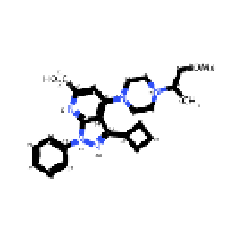 COCC(C)N1CCN(c2cc(C(=O)O)nc3c2c(C2CCC2)nn3-c2ccccc2)CC1